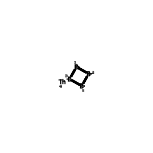 [B]1[B][B][B]1.[Th]